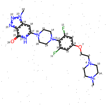 CN1CCN(CCOc2cc(F)c(N3CCN(c4cc5c(nnn5C)c(=O)[nH]4)CC3)c(F)c2)CC1